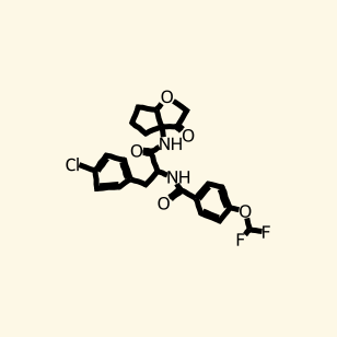 O=C(NC(Cc1ccc(Cl)cc1)C(=O)NC12CCCC1OCC2=O)c1ccc(OC(F)F)cc1